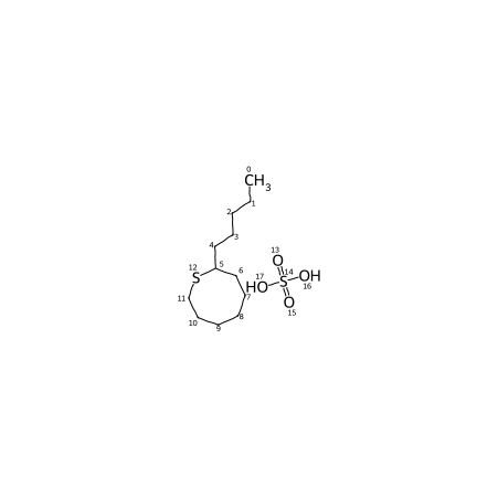 CCCCCC1CCCCCCS1.O=S(=O)(O)O